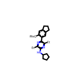 CCc1nc(-c2cc3c(cc2OC)CCC3)c(CC)nc1NC1CCCC1